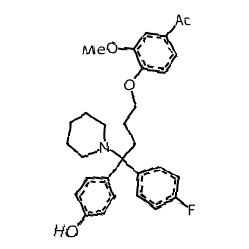 COc1cc(C(C)=O)ccc1OCCCC(c1ccc(O)cc1)(c1ccc(F)cc1)N1CCCCC1